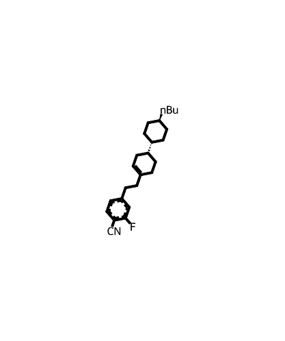 CCCC[C@H]1CC[C@H](C2CC=C(CCc3ccc(C#N)c(F)c3)CC2)CC1